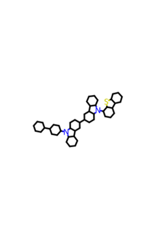 C1CCC(C2CCC(N3C4CCCCC4C4CC(C5CCC6C(C5)C5CCCCC5N6C5CCCC6C7CCCCC7SC65)CCC43)CC2)CC1